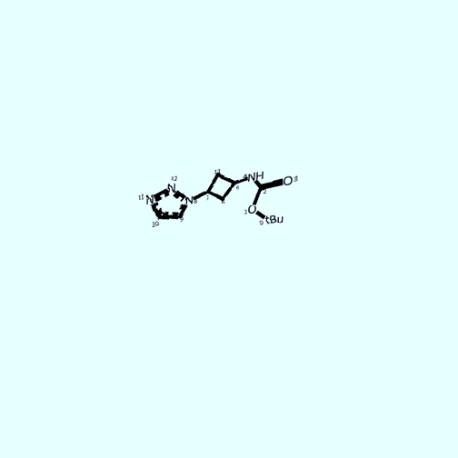 CC(C)(C)OC(=O)NC1CC(n2ccnn2)C1